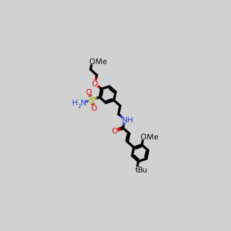 COCCOc1ccc(CCNC(=O)C=Cc2cc(C(C)(C)C)ccc2OC)cc1S(N)(=O)=O